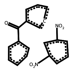 O=C(c1ccccc1)c1ccccc1.O=[N+]([O-])c1cccc([N+](=O)[O-])c1